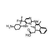 CC1=C(Nc2ncc(C(F)(F)F)c(NC3CCC(N)CC3)n2)N(C)C(CC(=O)O)c2ccccc21